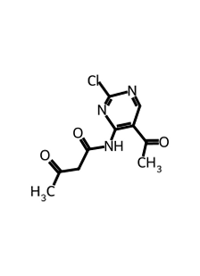 CC(=O)CC(=O)Nc1nc(Cl)ncc1C(C)=O